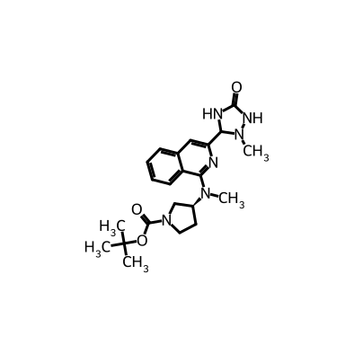 CN1NC(=O)NC1c1cc2ccccc2c(N(C)[C@H]2CCN(C(=O)OC(C)(C)C)C2)n1